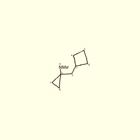 CNC1(CC2CCC2)CC1